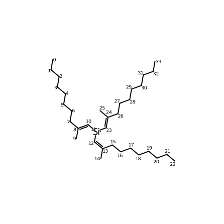 CCCCCCCCC(C)=C[Si](C=C(C)CCCCCCCC)C=C(C)CCCCCCCC